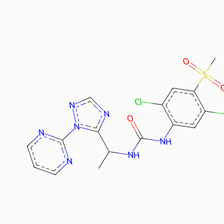 CC(NC(=O)Nc1cc(Cl)c(S(C)(=O)=O)cc1Cl)c1ncnn1-c1ncccn1